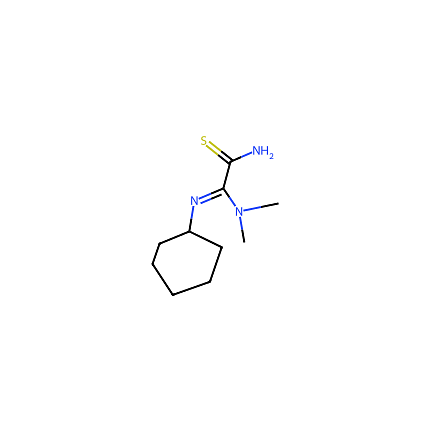 CN(C)C(=NC1CCCCC1)C(N)=S